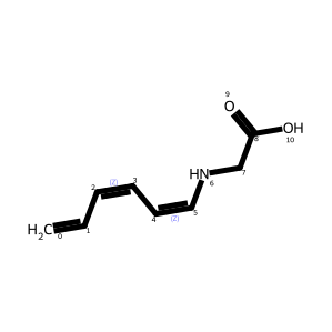 C=C/C=C\C=C/NCC(=O)O